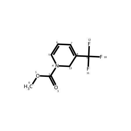 COC(=O)N1C=CC=C(C(F)(F)F)C1